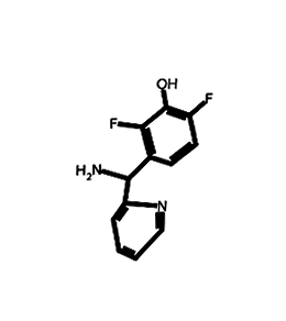 NC(c1ccccn1)c1ccc(F)c(O)c1F